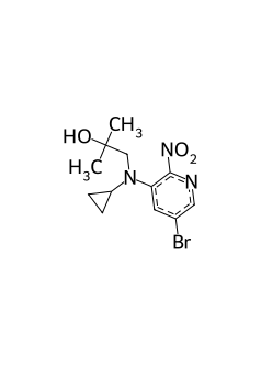 CC(C)(O)CN(c1cc(Br)cnc1[N+](=O)[O-])C1CC1